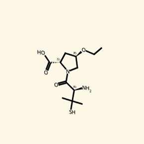 CCO[C@@H]1C[C@@H](C(=O)O)N(C(=O)[C@@H](N)C(C)(C)S)C1